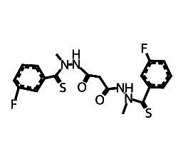 CN(NC(=O)CC(=O)NN(C)C(=S)c1cccc(F)c1)C(=S)c1cccc(F)c1